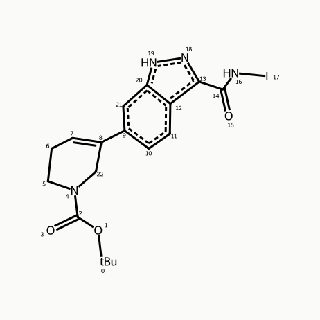 CC(C)(C)OC(=O)N1CCC=C(c2ccc3c(C(=O)NI)n[nH]c3c2)C1